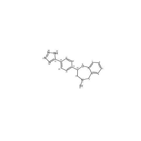 CCN1Cc2ccccc2OC(c2ccc(-c3nnn[nH]3)cc2)C1